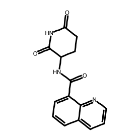 O=C1CCC(NC(=O)c2cccc3cccnc23)C(=O)N1